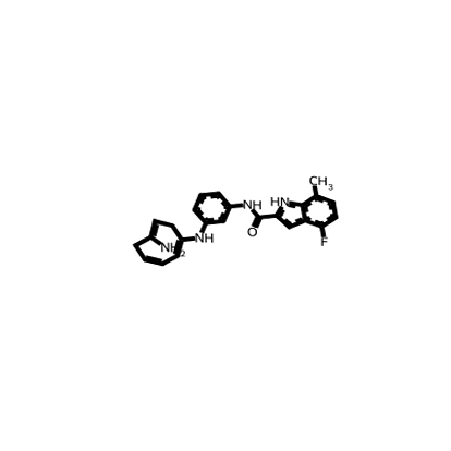 Cc1ccc(F)c2cc(C(=O)Nc3cccc(N/C4=C/C=C\C/C(N)=C/C4)c3)[nH]c12